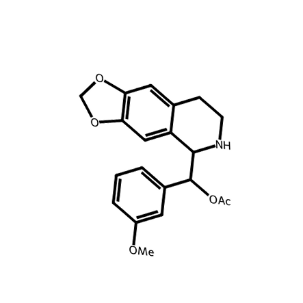 COc1cccc(C(OC(C)=O)C2NCCc3cc4c(cc32)OCO4)c1